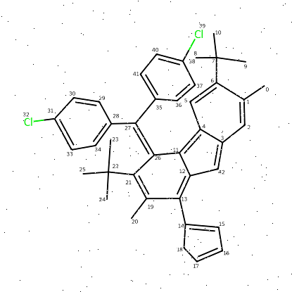 Cc1cc2c(cc1C(C)(C)C)=c1c(c(C3=CC=CC3)c(C)c(C(C)(C)C)c1=C(c1ccc(Cl)cc1)c1ccc(Cl)cc1)C=2